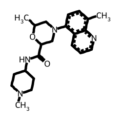 Cc1ccc(N2CC(C)OC(C(=O)NC3CCN(C)CC3)C2)c2cccnc12